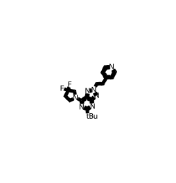 CC(C)(C)c1nc(N2CCC(F)(F)C2)c2nn(CCc3ccncc3)nc2n1